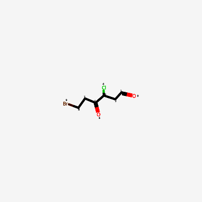 O=CCC(Cl)C(=O)CCBr